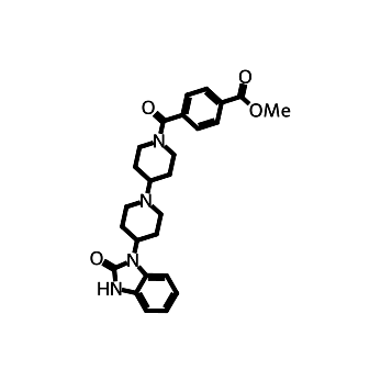 COC(=O)c1ccc(C(=O)N2CCC(N3CCC(n4c(=O)[nH]c5ccccc54)CC3)CC2)cc1